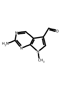 Cn1cc(C=O)c2cnc(N)nc21